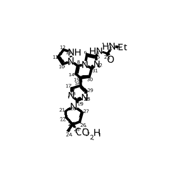 CCNC(=O)Nc1cn2c(N3C=CCN3)cc(-c3cnc(N4CCC(C)(C(=O)O)CC4)nc3)cc2n1